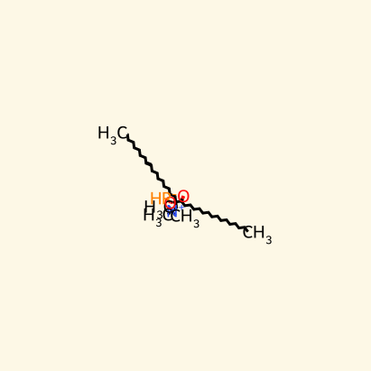 CCCCCCCCC=CCCCCCCCCC(C[N+](C)(C)C)(O[PH-])C(=O)CCCCCCCCCCCCCCC